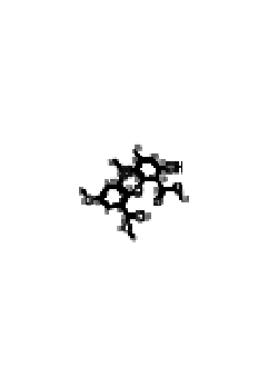 COC(=O)c1cc(OC)cc(OC)c1Oc1c(Cl)c(C)cc(O)c1C(=O)OC